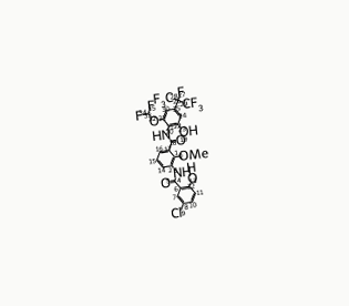 COc1c(NC(=O)c2cc(Cl)ccc2O)cccc1C(=O)Nc1c(O)cc(C(F)(C(F)(F)F)C(F)(F)F)cc1OC(F)F